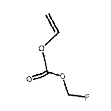 C=COC(=O)OCF